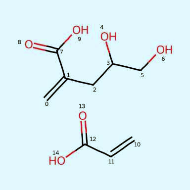 C=C(CC(O)CO)C(=O)O.C=CC(=O)O